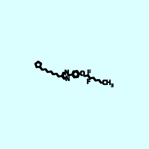 CCCCCC(F)C(F)COc1ccc(-c2ncc(CCCCCCCC3CCCC3)cn2)cc1